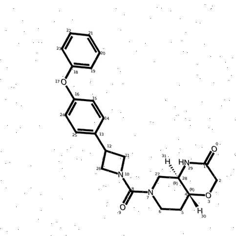 O=C1CO[C@@H]2CCN(C(=O)N3CC(c4ccc(Oc5ccccc5)cc4)C3)C[C@H]2N1